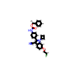 C[C@@H](OC(=O)Nc1ccc(-c2c(C#N)c3ccc(OCCF)cc3n2C2CCC2)cc1)c1ccccc1